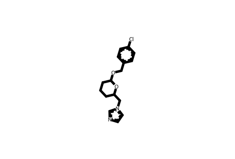 Clc1ccc(COC2CCCC(Cn3ccnc3)O2)cc1